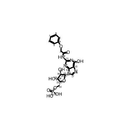 O=C(COc1ccccc1)Nc1nc(O)c2ncn([C@@H]3O[C@H](COP(=O)(O)O)[C@H](O)[C@H]3O)c2n1